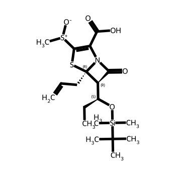 C=CC[C@]12SC([S+](C)[O-])=C(C(=O)O)N1C(=O)[C@H]2[C@H](CC)O[Si](C)(C)C(C)(C)C